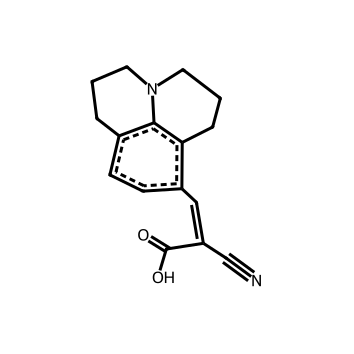 N#CC(=Cc1ccc2c3c1CCCN3CCC2)C(=O)O